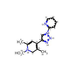 CC1=CC(c2cn(-c3ccccn3)nn2)=C(C)CN1C(=O)O